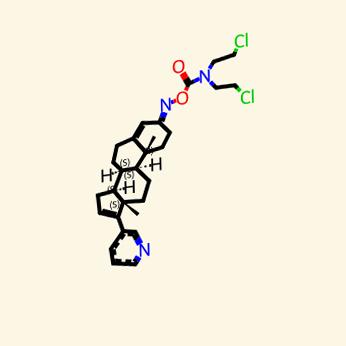 C[C@]12CCC(=NOC(=O)N(CCCl)CCCl)C=C1CC[C@H]1[C@@H]2CC[C@]2(C)C(c3cccnc3)=CC[C@@H]12